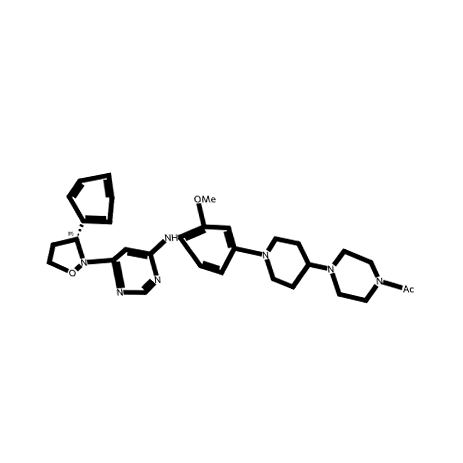 COc1cc(N2CCC(N3CCN(C(C)=O)CC3)CC2)ccc1Nc1cc(N2OCC[C@@H]2c2ccccc2)ncn1